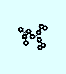 c1ccc(-c2ccc3c(c2)c2c(-c4cccc(N(c5ccc(-c6cccc7ccccc67)cc5)c5ccc(-c6cccc7ccccc67)cc5)c4)cccc2n3-c2ccccc2)cc1